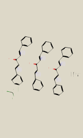 ClC(Cl)Cl.O=C(/C=C/c1ccccc1)/C=C/c1ccccc1.O=C(/C=C/c1ccccc1)/C=C/c1ccccc1.O=C(/C=C/c1ccccc1)/C=C/c1ccccc1.[Pd].[Pd]